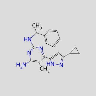 Cc1c(N)nc(NC(C)c2ccccc2)nc1-c1cc(C2CC2)n[nH]1